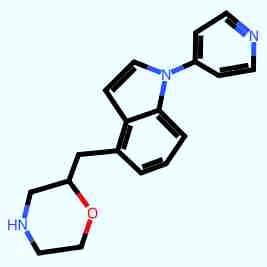 c1cc(CC2CNCCO2)c2ccn(-c3ccncc3)c2c1